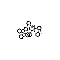 c1ccc(-c2nc(-c3ccccc3-c3ccc4c(c3)-c3ccccc3C43c4ccccc4-c4ccccc43)nc(-c3cccc4sc5ccccc5c34)n2)cc1